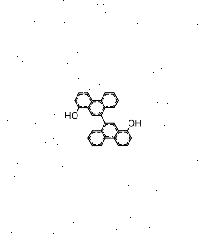 Oc1cccc2c1cc(-c1cc3c(O)cccc3c3ccccc13)c1ccccc12